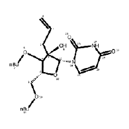 C=CC[C@@]1(O)C(OCCCC)[C@@H](COCCCC)O[C@H]1n1ccc(=O)[nH]c1=O